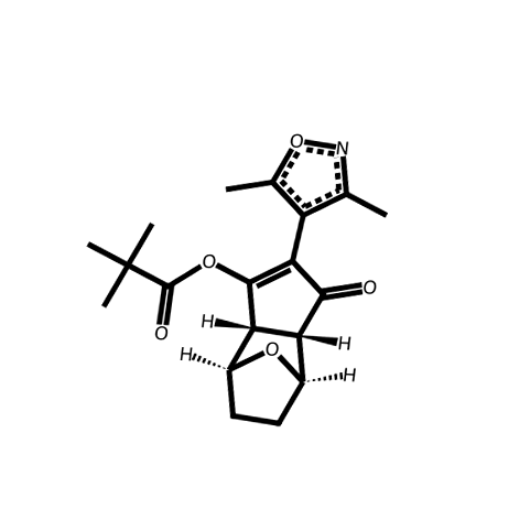 Cc1noc(C)c1C1=C(OC(=O)C(C)(C)C)[C@@H]2[C@H](C1=O)[C@H]1CC[C@@H]2O1